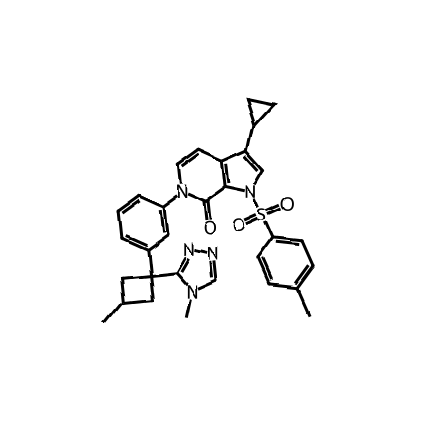 Cc1ccc(S(=O)(=O)n2cc(C3CC3)c3ccn(-c4cccc(C5(c6nncn6C)CC(C)C5)c4)c(=O)c32)cc1